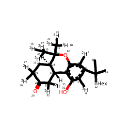 [2H]c1c(O)c2c(c([2H])c1C(C)(C)CCCCCC)OC(C([2H])([2H])[2H])(C([2H])([2H])[2H])[C@@H]1CC([2H])([2H])C(=O)C([2H])([2H])[C@@H]21